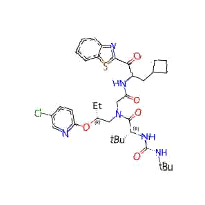 CC[C@H](CN(CC(=O)NC(CC1CCC1)C(=O)c1nc2ccccc2s1)C(=O)[C@H](NC(=O)NC(C)(C)C)C(C)(C)C)Oc1ccc(Cl)cn1